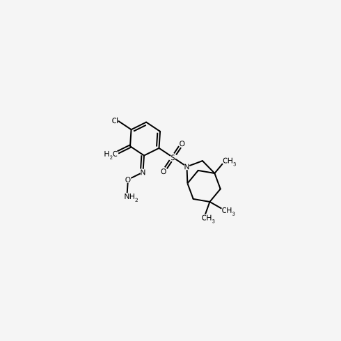 C=C1C(Cl)=CC=C(S(=O)(=O)N2CC3(C)CC2CC(C)(C)C3)/C1=N/ON